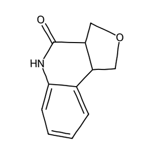 O=C1Nc2ccccc2C2COCC12